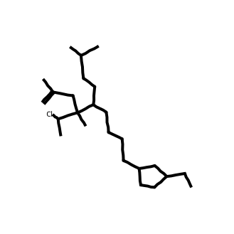 C=C(C)CC(C)(C(C)Cl)C(CCCCC1CCC(CC)C1)CCC(C)C